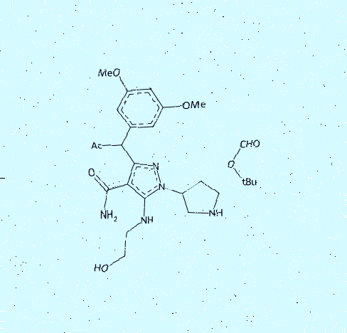 CC(C)(C)OC=O.COc1cc(OC)cc(C(C(C)=O)c2nn(C3CCNC3)c(NCCO)c2C(N)=O)c1